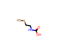 O=C(O)NCCSS